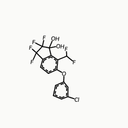 OC1(O)c2c(ccc(Oc3cccc(Cl)c3)c2C(F)F)C(F)(F)C1(F)F